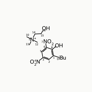 CCC(C)c1cc([N+](=O)[O-])cc([N+](=O)[O-])c1O.C[N+](C)(C)CCO